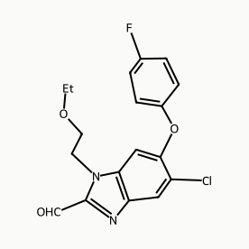 CCOCCn1c(C=O)nc2cc(Cl)c(Oc3ccc(F)cc3)cc21